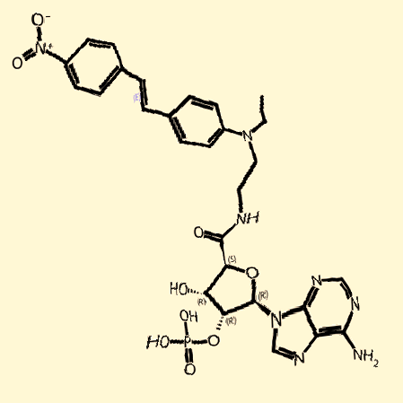 CCN(CCNC(=O)[C@H]1O[C@@H](n2cnc3c(N)ncnc32)[C@H](OP(=O)(O)O)[C@@H]1O)c1ccc(/C=C/c2ccc([N+](=O)[O-])cc2)cc1